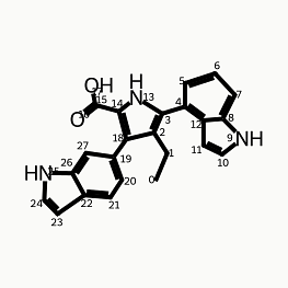 CCc1c(-c2cccc3[nH]ccc23)[nH]c(C(=O)O)c1-c1ccc2cc[nH]c2c1